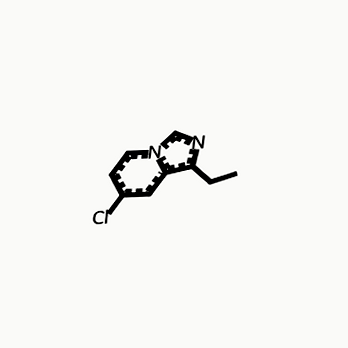 CCc1ncn2ccc(Cl)cc12